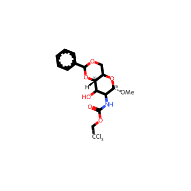 CO[C@H]1OC2COC(c3ccccc3)O[C@H]2C(O)C1NC(=O)OCC(Cl)(Cl)Cl